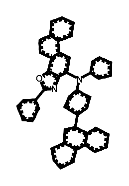 c1ccc(-c2nc3c(N(c4ccccc4)c4ccc(-c5cc6ccccc6c6ccccc56)cc4)cc4c5ccccc5ccc4c3o2)cc1